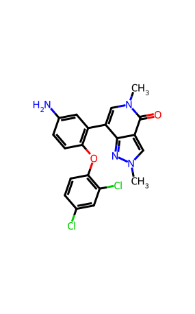 Cn1cc2c(=O)n(C)cc(-c3cc(N)ccc3Oc3ccc(Cl)cc3Cl)c2n1